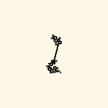 Cc1cc(S(=O)(=O)NCCCCCCCCCCCCNc2cccc3c2C(=O)N(C2CCC(=O)NC2=O)C3=O)ccc1Nc1ncc(Br)c(Nc2cccc(F)c2C(N)=O)n1